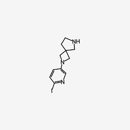 Ic1ccc(N2CC3(CCNC3)C2)cn1